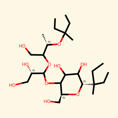 CCC(C)(CC)O[C@@H](C)C(CO)OC(OC1C(O)C(O)[C@H](C(C)(CC)CC)O[C@H]1CO)[C@@H](O)CO